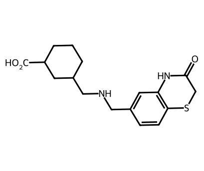 O=C1CSc2ccc(CNCC3CCCC(C(=O)O)C3)cc2N1